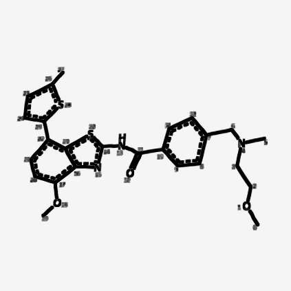 COCCN(C)Cc1ccc(C(=O)Nc2nc3c(OC)ccc(-c4ccc(C)s4)c3s2)cc1